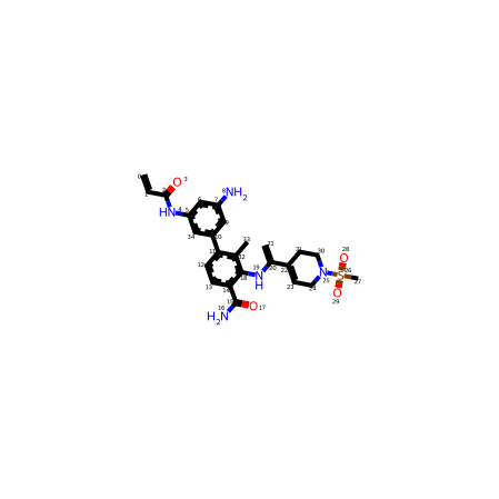 C=CC(=O)Nc1cc(N)cc(-c2ccc(C(N)=O)c(NC(=C)C3=CCN(S(C)(=O)=O)CC3)c2C)c1